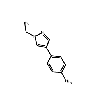 CC(C)(C)Cn1cc(-c2ccc(N)cc2)cn1